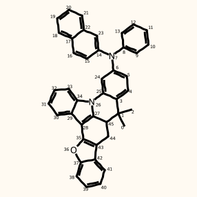 CC1(C)c2ccc(N(c3ccccc3)c3ccc4ccccc4c3)cc2-n2c3c(c4ccccc42)-c2oc4ccccc4c2CC31